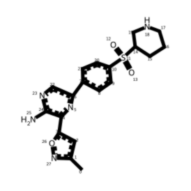 Cc1cc(-c2nc(-c3ccc(S(=O)(=O)C4CCCNC4)cc3)cnc2N)on1